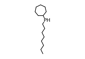 CCCCCCCCPC1CCCCCC1